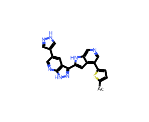 CC(=O)c1ccc(-c2cncc3[nH]c(-c4n[nH]c5ncc(-c6cn[nH]c6)cc45)cc23)s1